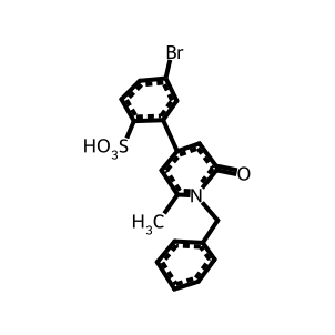 Cc1cc(-c2cc(Br)ccc2S(=O)(=O)O)cc(=O)n1Cc1ccccc1